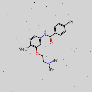 COc1ccc(NC(=O)c2ccc(C(C)C)cc2)cc1OCCN(C(C)C)C(C)C